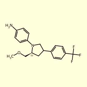 COC[C@@H]1CC(c2ccc(C(F)(F)F)cc2)CN1c1ccc(N)cc1